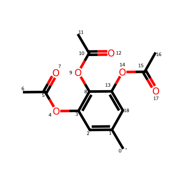 [CH2]c1cc(OC(C)=O)c(OC(C)=O)c(OC(C)=O)c1